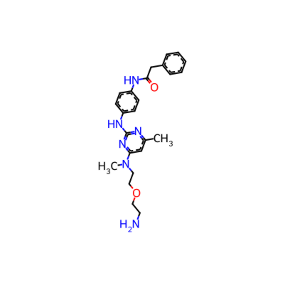 Cc1cc(N(C)CCOCCN)nc(Nc2ccc(NC(=O)Cc3ccccc3)cc2)n1